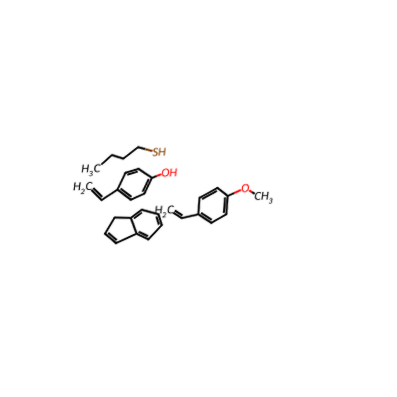 C1=Cc2ccccc2C1.C=Cc1ccc(O)cc1.C=Cc1ccc(OC)cc1.CCCCS